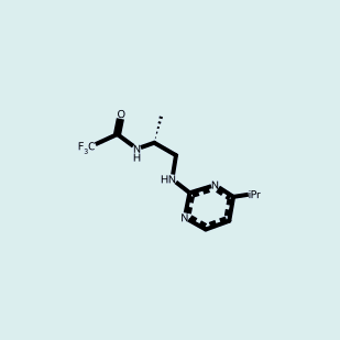 CC(C)c1ccnc(NC[C@@H](C)NC(=O)C(F)(F)F)n1